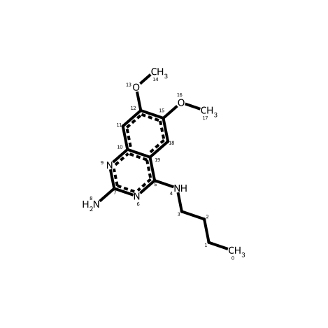 CCCCNc1nc(N)nc2cc(OC)c(OC)cc12